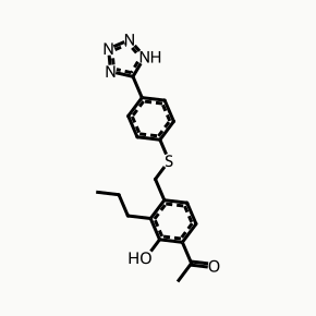 CCCc1c(CSc2ccc(-c3nnn[nH]3)cc2)ccc(C(C)=O)c1O